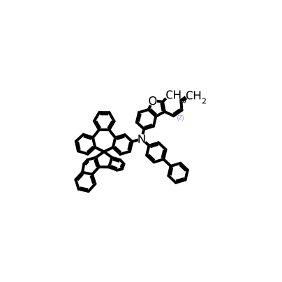 C=C/C=C\c1c(C)oc2ccc(N(c3ccc(-c4ccccc4)cc3)c3ccc4c(c3)-c3ccccc3-c3ccccc3C43c4ccccc4-c4c3ccc3ccccc43)cc12